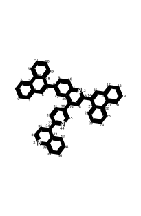 c1ccc2c(c1)cc(-c1ccc3nc(-c4cc5ccccc5c5ccccc45)cc(-c4ccc(-c5ccnc6ccccc56)nc4)c3c1)c1ccccc12